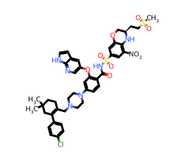 CC1(C)CCC(CN2CCN(c3ccc(C(=O)NS(=O)(=O)c4cc5c(c([N+](=O)[O-])c4)N[C@H](CCS(C)(=O)=O)CO5)c(Oc4cnc5[nH]ccc5c4)c3)CC2)=C(c2ccc(Cl)cc2)C1